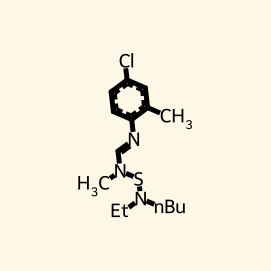 CCCCN(CC)SN(C)/C=N/c1ccc(Cl)cc1C